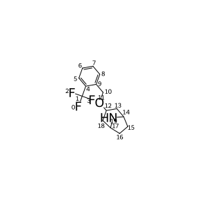 FC(F)(F)c1ccccc1COC1CC2CCC(C1)N2